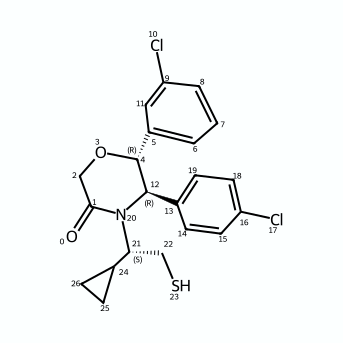 O=C1CO[C@H](c2cccc(Cl)c2)[C@@H](c2ccc(Cl)cc2)N1[C@H](CS)C1CC1